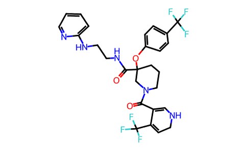 O=C(C1=CNCC=C1C(F)(F)F)N1CCCC(Oc2ccc(C(F)(F)F)cc2)(C(=O)NCCNc2ccccn2)C1